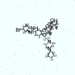 Brc1cnc2[nH]c(-c3ccc(OCCN4CCN(c5ccccc5)CC4)cc3)nc2c1.O=C(O)C(F)(F)F.O=C(O)C(F)(F)F